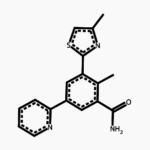 Cc1csc(-c2cc(-c3ccccn3)cc(C(N)=O)c2C)n1